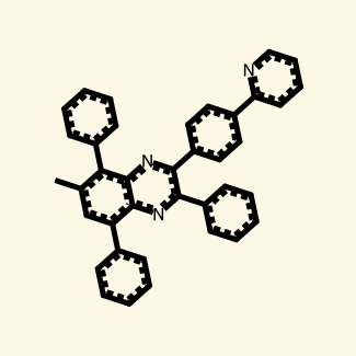 Cc1cc(-c2ccccc2)c2nc(-c3ccccc3)c(-c3ccc(-c4ccccn4)cc3)nc2c1-c1ccccc1